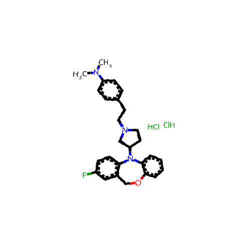 CN(C)c1ccc(CCN2CCC(N3c4ccc(F)cc4COc4ccccc43)C2)cc1.Cl.Cl